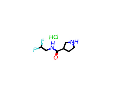 Cl.O=C(NCC(F)F)C1CCNC1